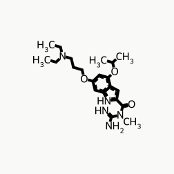 CCN(CC)CCCOc1cc(OC(C)C)c2cc(C(=O)N(C)C(=N)N)[nH]c2c1